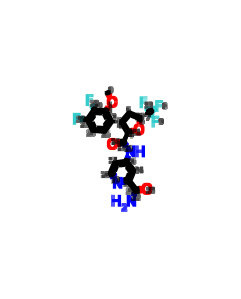 COc1c([C@@H]2C[C@H](C(F)(F)F)O[C@H]2C(=O)Nc2ccnc(C(N)=O)c2)ccc(F)c1F